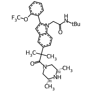 C[C@@H]1CN(C(=O)C(C)(C)c2ccc3c(c2)cc(-c2ccccc2OC(F)(F)F)n3CC(=O)NC(C)(C)C)C[C@H](C)N1